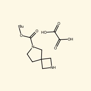 CC(C)(C)OC(=O)N1CCC2(CNC2)C1.O=C(O)C(=O)O